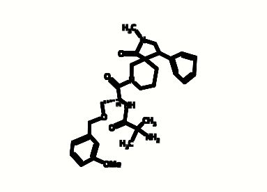 COc1cccc(COC[C@@H](NC(=O)C(C)(C)N)C(=O)N2CCCC3(C2)C(=O)N(C)CC3c2ccccc2)c1